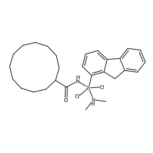 C[SiH](C)[Zr]([Cl])([Cl])([NH]C(=O)C1CCCCCCCCCCC1)[c]1cccc2c1Cc1ccccc1-2